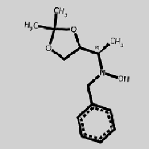 C[C@H](C1COC(C)(C)O1)N(O)Cc1ccccc1